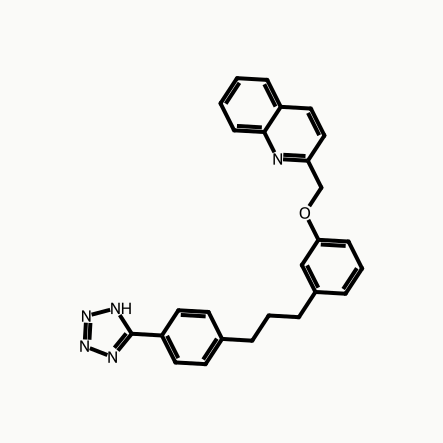 c1cc(CCCc2ccc(-c3nnn[nH]3)cc2)cc(OCc2ccc3ccccc3n2)c1